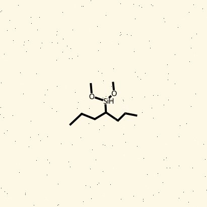 CCCC(CCC)[SiH](OC)OC